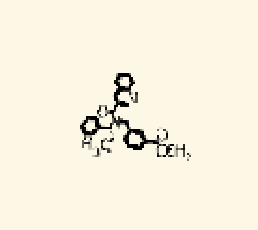 CC[C@H](c1ccccc1)N(Cc1cccc(C(=O)OC)c1)C(=O)c1cnc2ccccc2c1